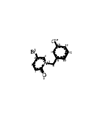 O=c1ccc(Br)cn1Cc1cccc(Cl)c1